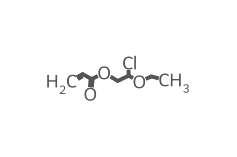 C=CC(=O)OCC(Cl)OCC